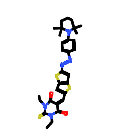 CCN1C(=O)C(=Cc2cc3sc(/N=N/c4ccc(N5C(C)(C)CCCC5(C)C)cc4)cc3s2)C(=O)N(CC)C1=S